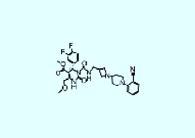 COCC1=C(C(=O)OC)[C@H](c2ccc(F)c(F)c2)N(C(=O)NCC2CN(C3CCN(c4ccccc4C#N)CC3)C2)C(=O)N1